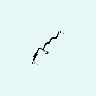 CC#CC[C@@H](O)/C=C/C=C/C